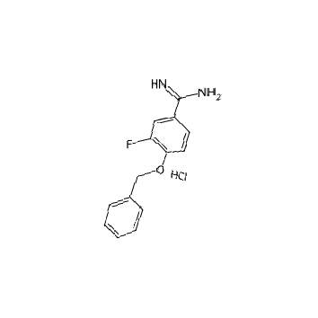 Cl.N=C(N)c1ccc(OCc2ccccc2)c(F)c1